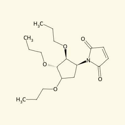 CCCOC1C[C@H](N2C(=O)C=CC2=O)[C@H](OCCC)[C@H]1OCCC